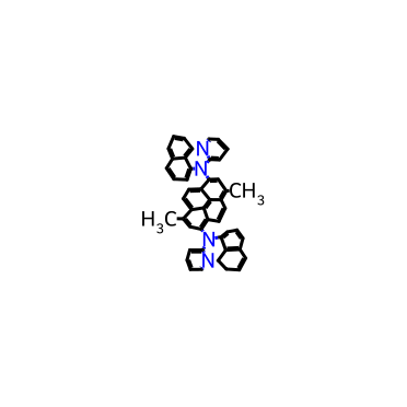 Cc1cc(N(c2ccccn2)c2cccc3c2CCC=C3)c2ccc3c(C)cc(N(c4ccccn4)c4cccc5ccccc45)c4ccc1c2c34